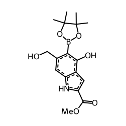 COC(=O)c1cc2c(O)c(B3OC(C)(C)C(C)(C)O3)c(CO)cc2[nH]1